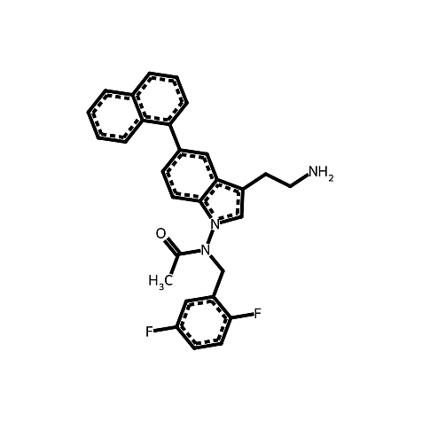 CC(=O)N(Cc1cc(F)ccc1F)n1cc(CCN)c2cc(-c3cccc4ccccc34)ccc21